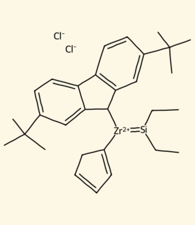 CC[Si](CC)=[Zr+2]([C]1=CC=CC1)[CH]1c2cc(C(C)(C)C)ccc2-c2ccc(C(C)(C)C)cc21.[Cl-].[Cl-]